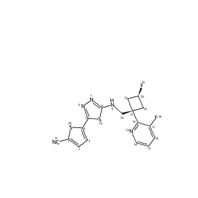 N#Cc1ccc(-c2nnc(NC[C@]3(c4ncccc4F)C[C@H](F)C3)s2)s1